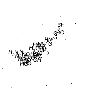 CC(C)(COP(=O)(O)OP(=O)(O)OC[C@H]1O[C@@H](n2cnc3c(N)ncnc32)[C@H](O)[C@@H]1OP(=O)(O)O)[C@@H](O)C(=O)NCCC(=O)NCCSC(=O)CC(=O)SCCS